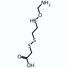 NCOBCCSSCC(=O)O